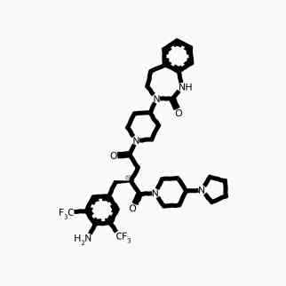 Nc1c(C(F)(F)F)cc(C[C@@H](CC(=O)N2CCC(N3CCc4ccccc4NC3=O)CC2)C(=O)N2CCC(N3CCCC3)CC2)cc1C(F)(F)F